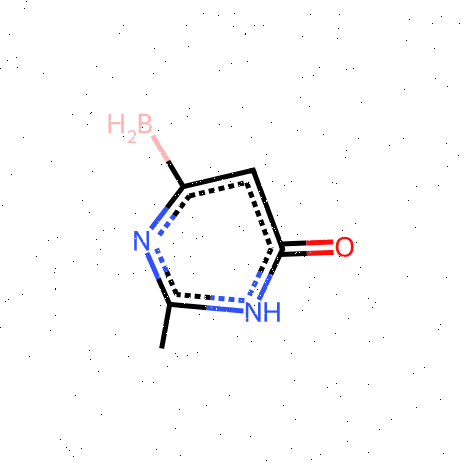 Bc1cc(=O)[nH]c(C)n1